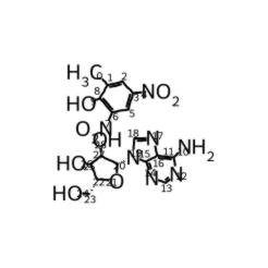 Cc1cc([N+](=O)[O-])cc([N+](=O)[O-])c1O.Nc1ncnc2c1ncn2[C@@H]1O[C@H](CO)[C@@H](O)[C@H]1O